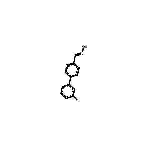 ON=Cc1ccc(-c2cccc(F)c2)cn1